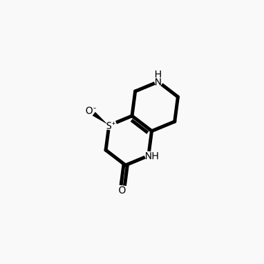 O=C1C[S@@+]([O-])C2=C(CCNC2)N1